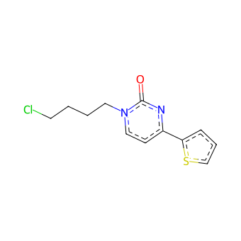 O=c1nc(-c2cccs2)ccn1CCCCCl